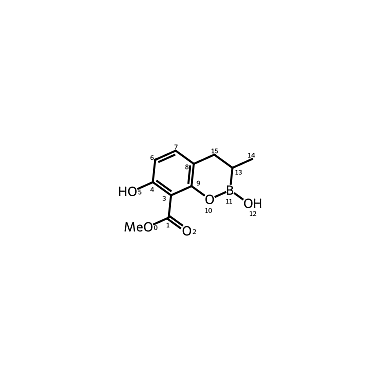 COC(=O)c1c(O)ccc2c1OB(O)C(C)C2